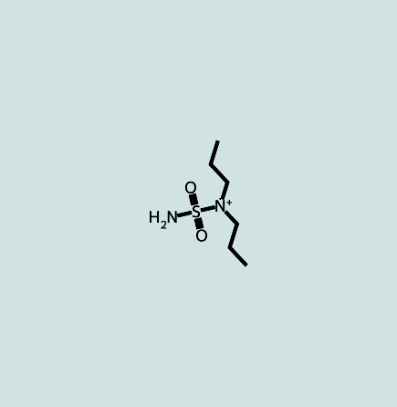 CCC[N+](CCC)S(N)(=O)=O